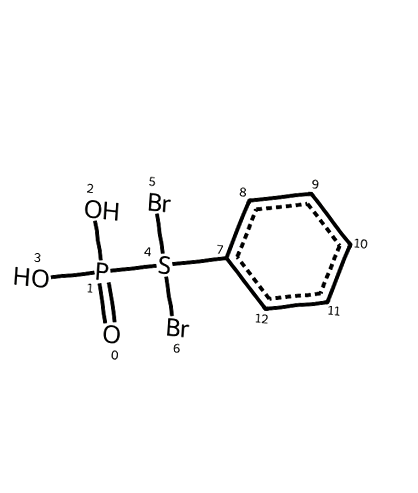 O=P(O)(O)S(Br)(Br)c1ccccc1